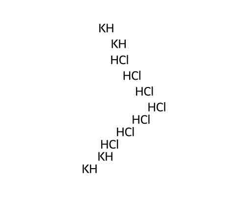 Cl.Cl.Cl.Cl.Cl.Cl.Cl.[KH].[KH].[KH].[KH]